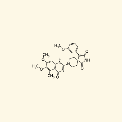 COc1cccc(N2C(=O)NC(=O)C23CCN(c2nc(=O)c4c(C)c(OC)c(OC)cc4[nH]2)CC3)c1